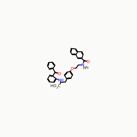 CCCN(CCOc1ccc(CC(Nc2ccccc2C(=O)c2ccccc2)C(=O)O)cc1)C(=O)c1ccc2ccccc2c1